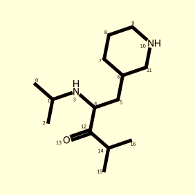 CC(C)NC(CC1CCCNC1)C(=O)C(C)C